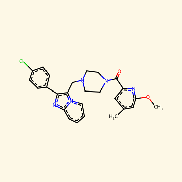 COc1cc(C)cc(C(=O)N2CCN(Cc3c(-c4ccc(Cl)cc4)nc4ccccn34)CC2)n1